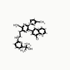 Cc1ccn(-c2nc(N)c(CCNc3cccc(C(C)(C)O)n3)nc2-c2cc(Cl)c3ncccc3c2)n1